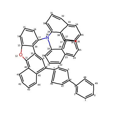 c1ccc(-c2ccc(-c3cc4c(oc5cccc(N(c6cccc7ccccc67)c6cccc7ccccc67)c54)c4ccccc34)cc2)cc1